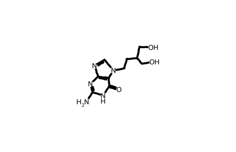 Nc1nc2ncn(CCC(CO)CO)c2c(=O)[nH]1